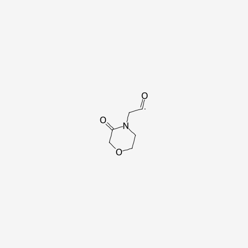 O=[C]CN1CCOCC1=O